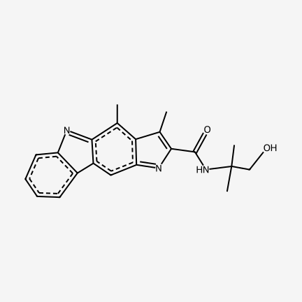 CC1=C(C(=O)NC(C)(C)CO)N=c2cc3c(c(C)c21)=Nc1ccccc1-3